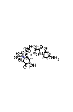 Nc1ccn([C@@H]2O[C@H](COP(=O)(O)O/C(=C3\C=CC(O)C(O)C3)P(=O)(O)O)[C@H](O)C2O)c(=O)n1